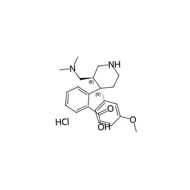 COc1cccc([C@@]2(c3ccccc3C(=O)O)CCNC[C@@H]2CN(C)C)c1.Cl